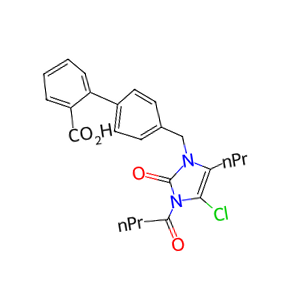 CCCC(=O)n1c(Cl)c(CCC)n(Cc2ccc(-c3ccccc3C(=O)O)cc2)c1=O